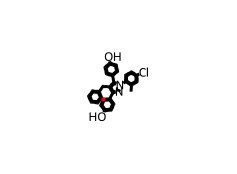 Cc1cc(Cl)ccc1-n1nc(-c2ccc(O)cc2)c(Cc2ccccc2)c1-c1ccc(O)cc1